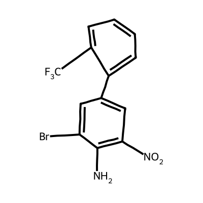 Nc1c(Br)cc(-c2ccccc2C(F)(F)F)cc1[N+](=O)[O-]